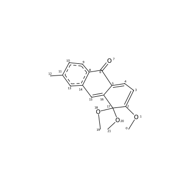 COC1=CC=C2C(=O)c3ccc(C)cc3C=C2C1(OC)OC